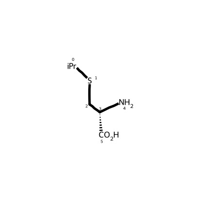 CC(C)SC[C@H](N)C(=O)O